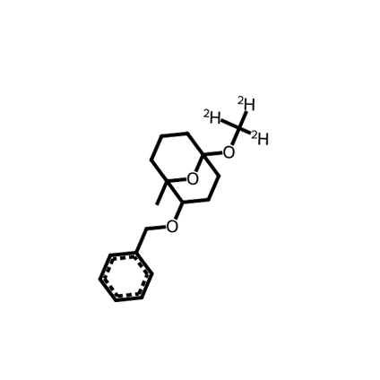 [2H]C([2H])([2H])OC12CCCC(C)(O1)C(OCc1ccccc1)CC2